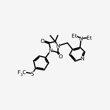 CCN(CC)c1cnccc1CN1C(=O)N(c2ccc(SC(F)(F)F)cc2)C(=O)C1(C)C